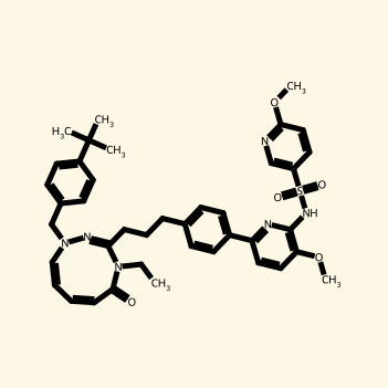 CCn1c(CCCc2ccc(-c3ccc(OC)c(NS(=O)(=O)c4ccc(OC)nc4)n3)cc2)nn(Cc2ccc(C(C)(C)C)cc2)ccccc1=O